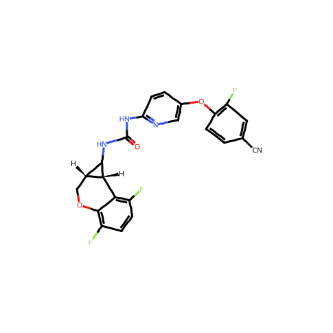 N#Cc1ccc(Oc2ccc(NC(=O)NC3[C@H]4COc5c(F)ccc(F)c5[C@@H]34)nc2)c(F)c1